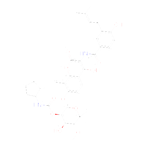 CO[C@@H]1[C@@H](O)[C@@H](OC(=O)NC2CCCC2)[C@H](Oc2ccc3c(O)c(NC(=O)c4ccc(O)c(CC=C(C)C)c4)c(=O)oc3c2C)OC1(C)C